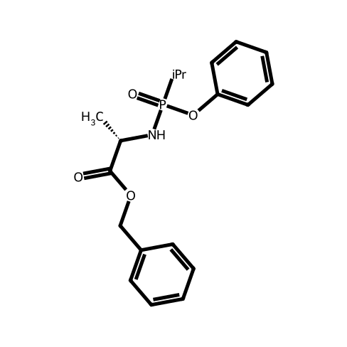 CC(C)P(=O)(N[C@@H](C)C(=O)OCc1ccccc1)Oc1ccccc1